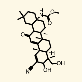 COC(=O)N[C@]12CCC(C)(C)CC1C1C(=O)C=C3[C@@]4(C)C=C(C#N)C(O)[C@@](C)(CO)[C@@H]4CC[C@@]3(C)[C@]1(C)CC2